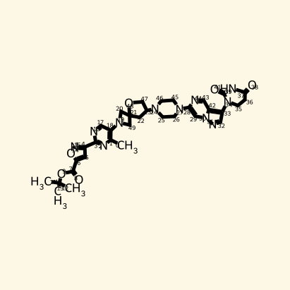 Cc1nc(-c2cc(C(=O)OC(C)(C)C)on2)ncc1N1CC2(CC(N3CCN(c4cn5ncc(N6CCC(=O)NC6=O)c5cn4)CC3)CO2)C1